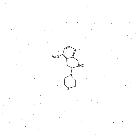 COc1cccc2c1CC(N1CCSCC1)CC2.Cl